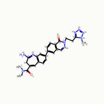 CCCN(CCC)C(=O)C1=Cc2ccc(-c3ccc4c(=O)n(CCc5nnnn5C)ncc4c3)cc2N=C(N)C1